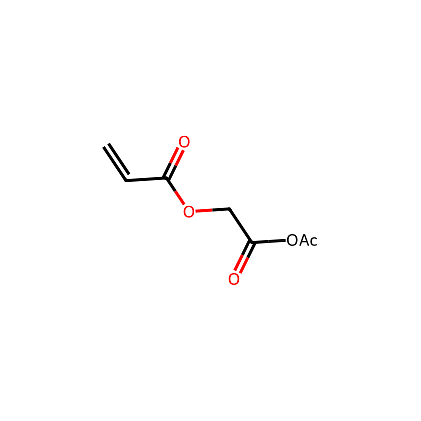 C=CC(=O)OCC(=O)OC(C)=O